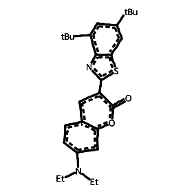 CCN(CC)c1ccc2cc(-c3nc4c(C(C)(C)C)cc(C(C)(C)C)cc4s3)c(=O)oc2c1